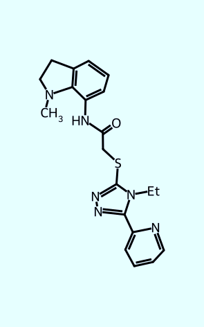 CCn1c(SCC(=O)Nc2cccc3c2N(C)CC3)nnc1-c1ccccn1